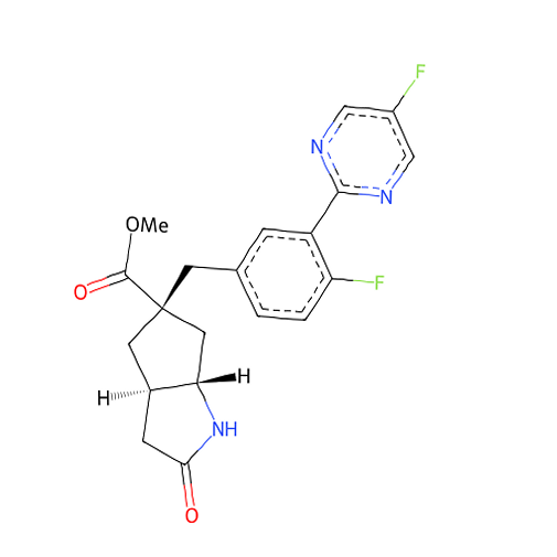 COC(=O)[C@@]1(Cc2ccc(F)c(-c3ncc(F)cn3)c2)C[C@@H]2CC(=O)N[C@H]2C1